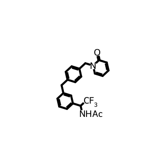 CC(=O)NC(c1cccc(Cc2ccc(Cn3ccccc3=O)cc2)c1)C(F)(F)F